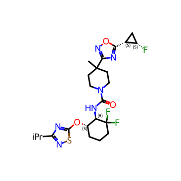 CC(C)c1nsc(O[C@H]2CCCC(F)(F)[C@@H]2NC(=O)N2CCC(C)(c3noc([C@@H]4C[C@@H]4F)n3)CC2)n1